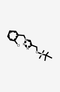 CC(C)(C)[Si](C)(C)OCc1cn(Cc2ccccc2Cl)nn1